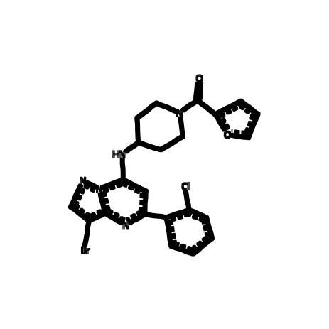 O=C(c1ccco1)N1CCC(Nc2cc(-c3ccccc3Cl)nc3c(Br)cnn23)CC1